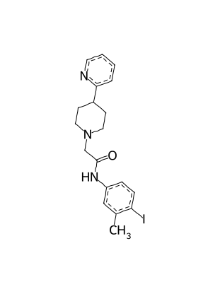 Cc1cc(NC(=O)CN2CCC(c3ccccn3)CC2)ccc1I